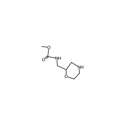 COC(=O)NCC1CNCCO1